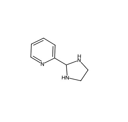 c1ccc(C2NCCN2)nc1